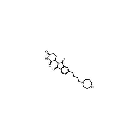 O=C1CCC(N2C(=O)c3ccc(CCCCN4CCCNCC4)cc3C2=O)C(=O)N1